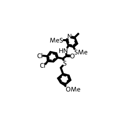 COc1ccc(CSC(C(=O)Nc2c(SC)cc(C)nc2SC)c2ccc(Cl)c(Cl)c2)cc1